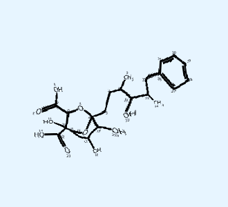 CC(CCC12OC(C(=O)O)C(O)(C(=O)O)C(O1)C(O)C2O)C(O)C(C)Cc1ccccc1